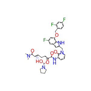 CN(C)C(=O)/C=C/CC[C@H](OC(O)N1CCCC1)C(=O)Nc1cccn(Cc2cc3cc(F)cc(OCc4ccc(F)cc4F)c3[nH]2)c1=O